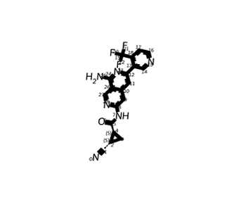 N#C[C@H]1C[C@@H]1C(=O)Nc1cc2cc(-c3cnccc3C(F)(F)F)nc(N)c2cn1